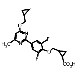 Cc1cc(OCC2CC2)nc(-c2cc(F)c(OCC3CC3C(=O)O)c(F)c2)n1